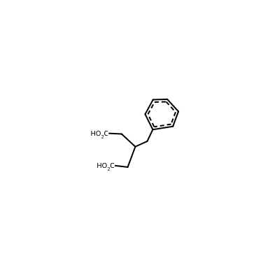 O=C(O)CC(CC(=O)O)Cc1ccccc1